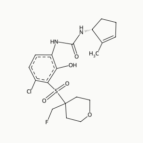 CC1=CCC[C@H]1NC(=O)Nc1ccc(Cl)c(S(=O)(=O)C2(CF)CCOCC2)c1O